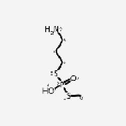 CSP(=O)(O)SCCCN